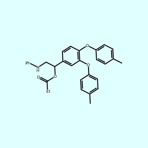 CCC(=O)OC(CNC(C)C)c1ccc(Oc2ccc(C)cc2)c(Oc2ccc(C)cc2)c1